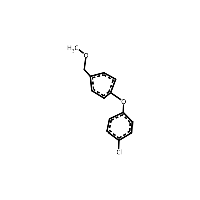 COCc1ccc(Oc2ccc(Cl)cc2)cc1